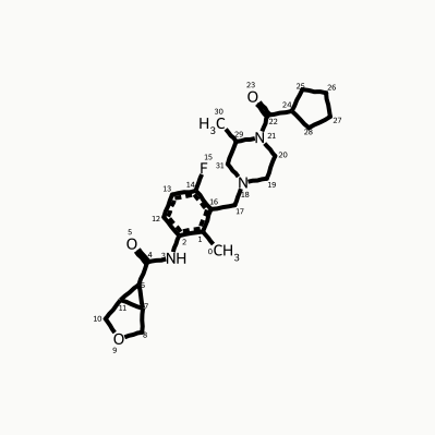 Cc1c(NC(=O)C2C3COCC32)ccc(F)c1CN1CCN(C(=O)C2CCCC2)C(C)C1